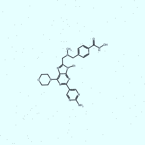 CCn1c(CN(C)Cc2ccc(C(=O)NO)cc2)nc2c(N3CCOCC3)nc(-c3cnc(N)nc3)nc21